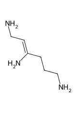 NCC=C(N)CCCN